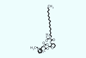 CCCCCCCCCCCCCCCCCN(C(C)=O)C(=O)SC1CCCOC1COC(=O)N(Cc1cccc[n+]1CC)C(C)=O